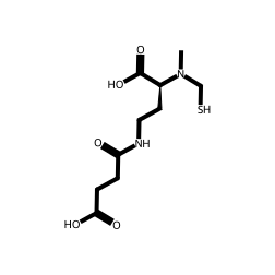 CN(CS)[C@@H](CCNC(=O)CCC(=O)O)C(=O)O